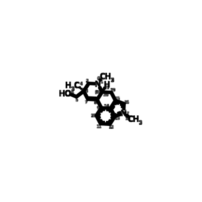 CN1C[C@](C)(CO)C=C2c3cccc4c3c(cn4C)C[C@H]21